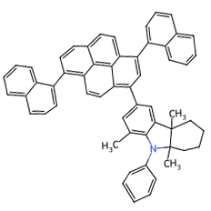 Cc1cc(-c2cc(-c3cccc4ccccc34)c3ccc4ccc(-c5cccc6ccccc56)c5ccc2c3c45)cc2c1N(c1ccccc1)C1(C)CCCCC21C